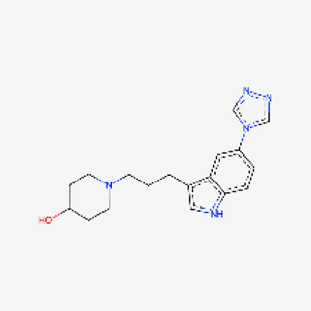 OC1CCN(CCCc2c[nH]c3ccc(-n4cnnc4)cc23)CC1